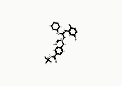 Cc1ccc(Cl)cc1/N=C(\CN(C=O)Cc1ccc(C(=O)OC(C)(C)C)cc1)OC1CCCCC1